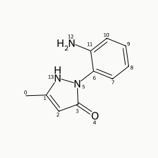 Cc1cc(=O)n(-c2ccccc2N)[nH]1